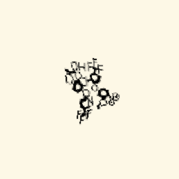 CC(Oc1ccc(Oc2ccc(C(F)(F)F)cn2)cc1)C(=O)O.CCOc1cc(Oc2ccc(C(F)(F)F)cc2Cl)ccc1[N+](=O)[O-]